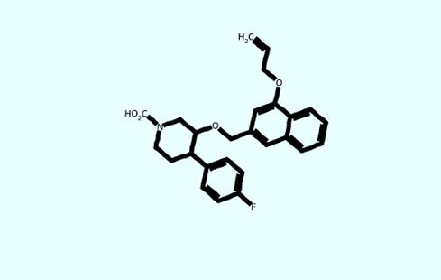 C=CCOc1cc(COC2CN(C(=O)O)CCC2c2ccc(F)cc2)cc2ccccc12